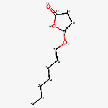 CCCCCCCOC1CCC(=O)O1